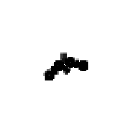 CC(C)(C1=CC=CCC1)C1=CC2=C(CC1)Nc1ccc(C(C)(C)c3ccccc3)cc1[S+]2[O-]